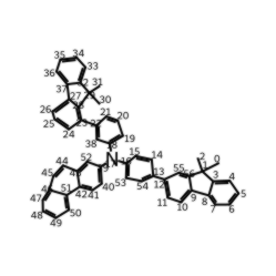 CC1(C)c2ccccc2-c2ccc(-c3ccc(N(c4cccc(-c5cccc6c5C(C)(C)c5ccccc5-6)c4)c4ccc5c(ccc6ccccc65)c4)cc3)cc21